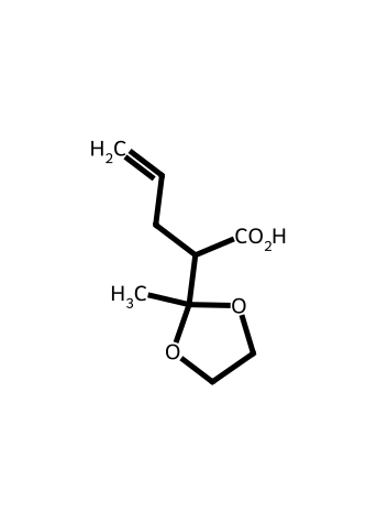 C=CCC(C(=O)O)C1(C)OCCO1